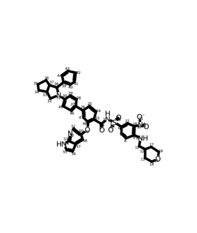 O=C(NS(=O)(=O)c1ccc(NCC2CCOCC2)c([N+](=O)[O-])c1)c1ccc(-c2ccc(N3CC4CCCC4C3c3ccccc3)cc2)cc1Oc1cnc2[nH]ccc2c1